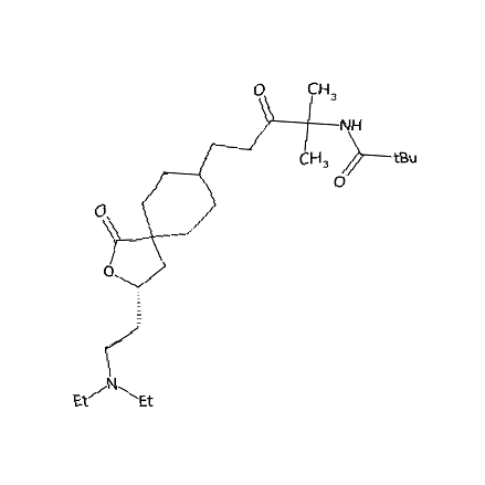 CCN(CC)CC[C@H]1CC2(CCC(CCC(=O)C(C)(C)NC(=O)C(C)(C)C)CC2)C(=O)O1